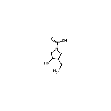 CC[C@@H]1CN(C(=O)O)C[C@@H]1O